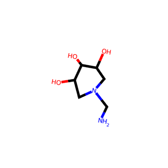 NCN1CC(O)C(O)C(O)C1